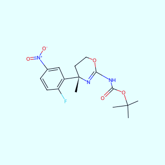 CC(C)(C)OC(=O)NC1=N[C@](C)(c2cc([N+](=O)[O-])ccc2F)CCO1